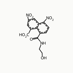 O=C(O)c1cc([N+](=O)[O-])cc2c([N+](=O)[O-])ccc(C(=O)NCCO)c12